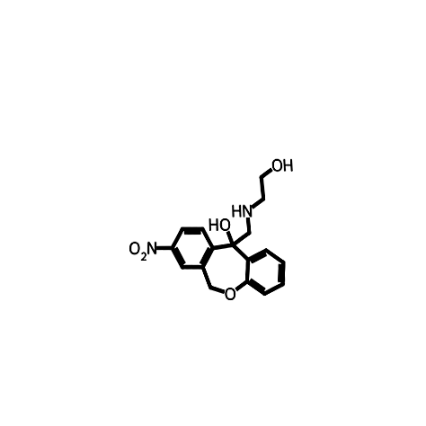 O=[N+]([O-])c1ccc2c(c1)COc1ccccc1C2(O)CNCCO